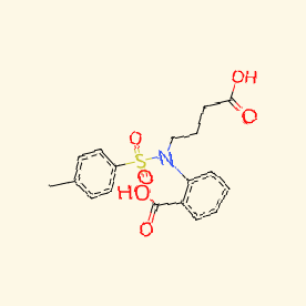 Cc1ccc(S(=O)(=O)N(CCCC(=O)O)c2ccccc2C(=O)O)cc1